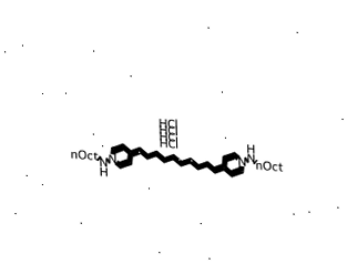 CCCCCCCCNN1C=CC(=CCCCCCCCCC=C2C=CN(NCCCCCCCC)C=C2)C=C1.Cl.Cl.Cl.Cl